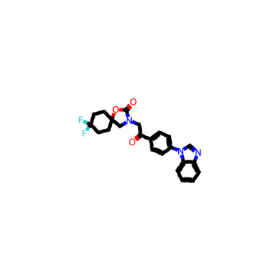 O=C(CN1CC2(CCC(F)(F)CC2)OC1=O)c1ccc(-n2cnc3ccccc32)cc1